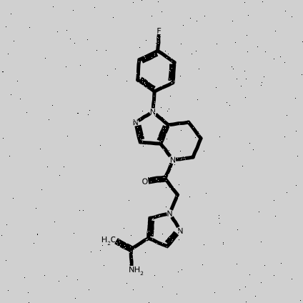 C=C(N)c1cnn(CC(=O)N2CCCc3c2cnn3-c2ccc(F)cc2)c1